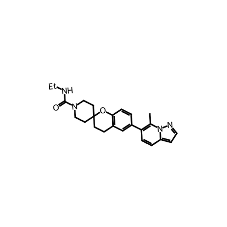 CCNC(=O)N1CCC2(CCc3cc(-c4ccc5ccnn5c4C)ccc3O2)CC1